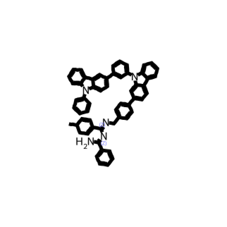 CC1C=CC(C(=N/Cc2ccc(-c3ccc4c5ccccc5n(-c5cccc(-c6ccc7c(c6)c6ccccc6n7-c6ccccc6)c5)c4c3)cc2)/N=C(\N)c2ccccc2)=CC1